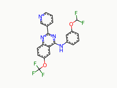 FC(F)Oc1cccc(Nc2nc(-c3cccnc3)nc3ccc(OC(F)(F)F)cc23)c1